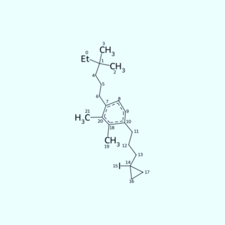 CCC(C)(C)CCCc1ccc(CCCC2(I)CC2)c(C)c1C